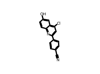 N#Cc1ccc(-c2cc(Cl)c3cc(O)ccc3n2)cc1